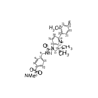 CNS(=O)(=O)c1ccc(CNC(=O)N2CC(C)(C)c3nc(-c4ccc(F)cc4C)ccc32)cc1